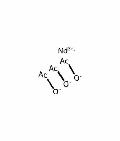 CC(=O)[O-].CC(=O)[O-].CC(=O)[O-].[Nd+3]